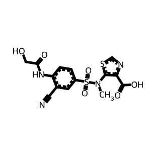 CN(c1scnc1C(=O)O)S(=O)(=O)c1ccc(NC(=O)CO)c(C#N)c1